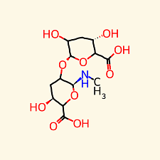 CN[C@H]1OC(C(=O)O)[C@@H](O)CC1O[C@@H]1OC(C(=O)O)[C@@H](O)CC1O